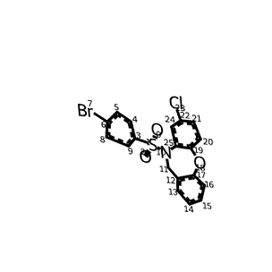 O=S(=O)(c1ccc(Br)cc1)N1Cc2ccccc2Oc2ccc(Cl)cc21